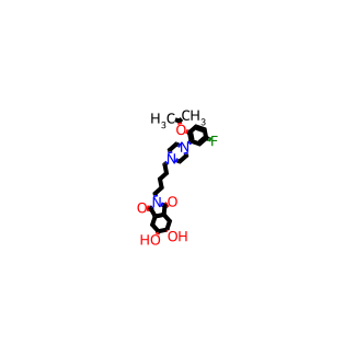 CC(C)Oc1ccc(F)cc1N1CCN(CCCCCN2C(=O)C3CC(O)C(O)CC3C2=O)CC1